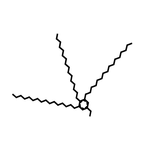 CCCCCCCCCCCCCCCCc1cc(CC)cc(CCCCCCCCCCCCCCCC)c1CCCCCCCCCCCCCCCC